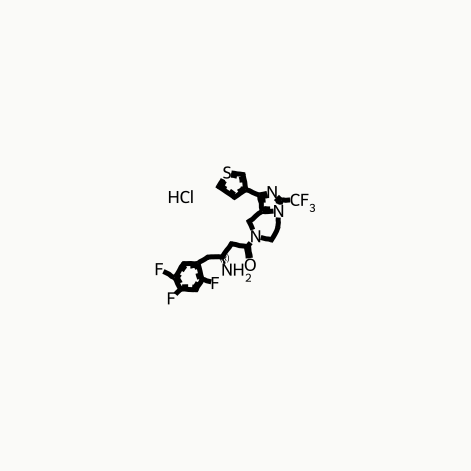 Cl.N[C@@H](CC(=O)N1CCn2c(C(F)(F)F)nc(-c3ccsc3)c2C1)Cc1cc(F)c(F)cc1F